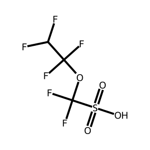 O=S(=O)(O)C(F)(F)OC(F)(F)C(F)F